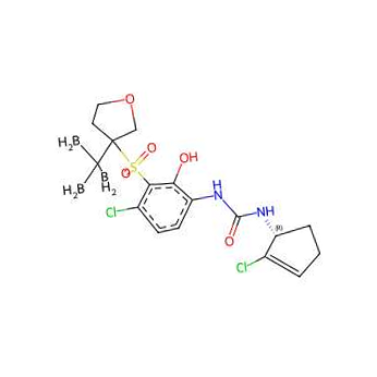 BC(B)(B)C1(S(=O)(=O)c2c(Cl)ccc(NC(=O)N[C@@H]3CCC=C3Cl)c2O)CCOC1